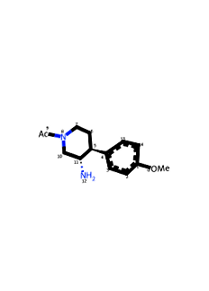 COc1ccc([C@@H]2CCN(C(C)=O)C[C@H]2N)cc1